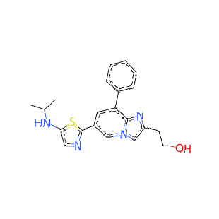 CC(C)Nc1cnc(-c2cc(-c3ccccc3)c3nc(CCO)cn3c2)s1